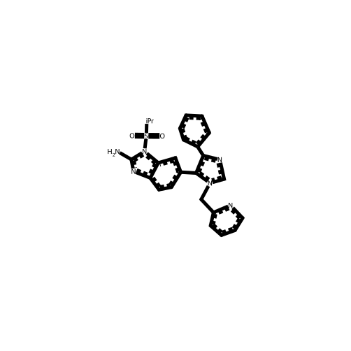 CC(C)S(=O)(=O)n1c(N)nc2ccc(-c3c(-c4ccccc4)ncn3Cc3ccccn3)cc21